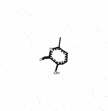 Cc1ccc(O)c(=O)o1